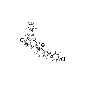 O=C1c2cc(-c3ccc(Cl)cc3)cn2CCN1c1ccc2c(c1)oc(=O)n2CCN1CCCC1